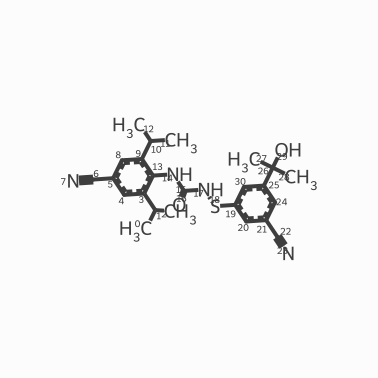 CC(C)c1cc(C#N)cc(C(C)C)c1NC(=O)NSc1cc(C#N)cc(C(C)(C)O)c1